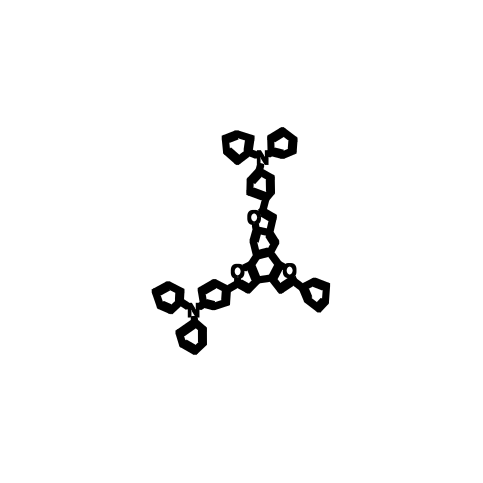 c1ccc(-c2cc3c4cc(-c5ccc(N(c6ccccc6)c6ccccc6)cc5)oc4c4cc5oc(-c6ccc(N(c7ccccc7)c7ccccc7)cc6)cc5cc4c3o2)cc1